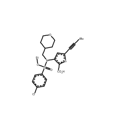 CCOP(=O)(c1ccc(Cl)cc1)N(CC1CCOCC1)c1cc(C#CC(C)(C)C)sc1C(=O)O